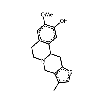 COc1cc2c(cc1O)C1Cc3scc(C)c3CN1CC2